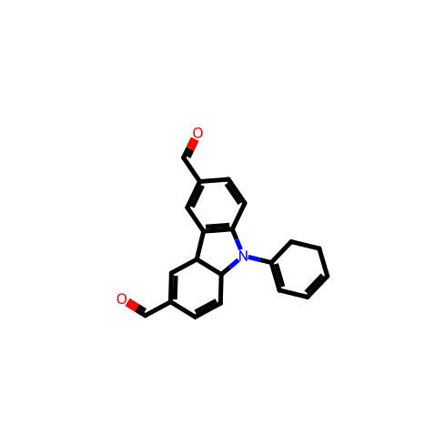 O=CC1=CC2c3cc(C=O)ccc3N(C3=CC=CCC3)C2C=C1